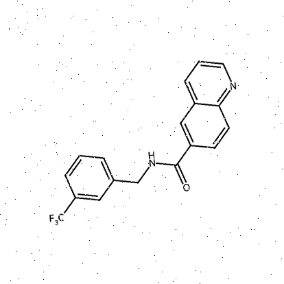 O=C(NCc1cccc(C(F)(F)F)c1)c1ccc2ncccc2c1